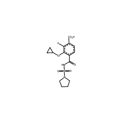 O=C(O)c1ccc(C(=O)NS(=O)(=O)N2CCCC2)c(OC2CC2)c1F